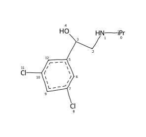 CC(C)NCC(O)c1cc(Cl)cc(Cl)c1